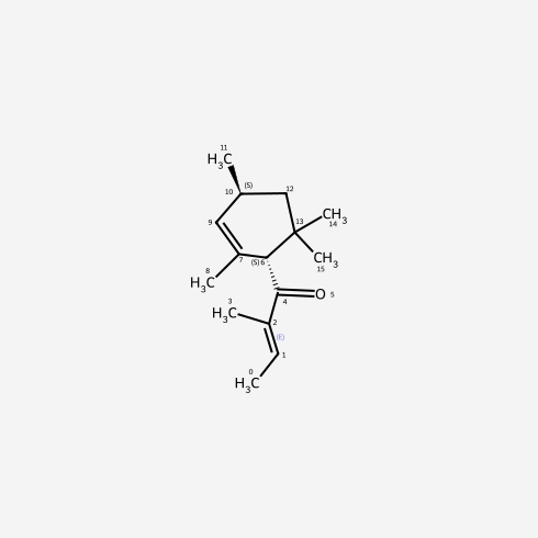 C/C=C(\C)C(=O)[C@@H]1C(C)=C[C@@H](C)CC1(C)C